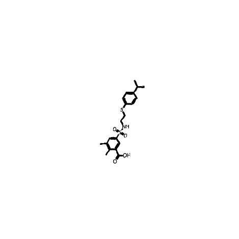 Cc1cc(S(=O)(=O)NCCSc2ccc(C(C)C)cc2)cc(C(=O)O)c1C